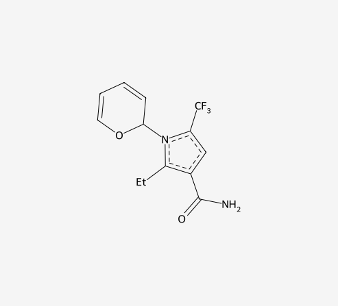 CCc1c(C(N)=O)cc(C(F)(F)F)n1C1C=CC=CO1